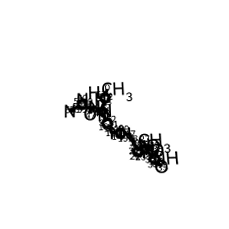 Cc1ccc(-c2nn(C3CCC(CN4CCN(CC#Cc5cccc6c5n(C)c(=O)n6C5CCC(=O)NC5=O)CC4)CC3)cc2NC(=O)c2cncc(C#N)c2)nc1